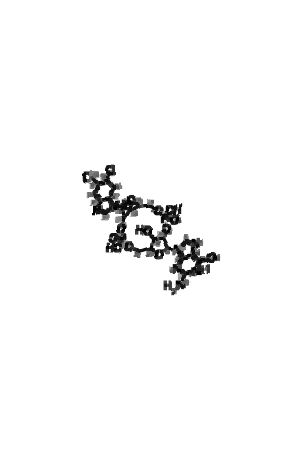 Nc1nc2c(ncn2C2OC3COP(=O)(O)OC4C(O)C(COP(=O)(O)OC2C3O)OC4n2cnc3cc(Cl)c(Cl)cc32)c(=O)[nH]1